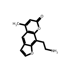 Cc1cc(=O)oc2c(CCN)c3occc3cc12